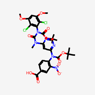 COc1cc(OC)c(Cl)c(N(C(=O)OC(C)(C)C)C(=O)N(C)c2cc(N(C(=O)OC(C)(C)C)c3ccc(C(=O)O)cc3[N+](=O)[O-])ncn2)c1Cl